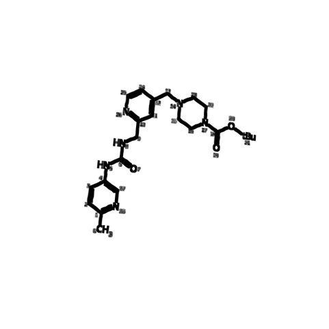 Cc1ccc(NC(=O)NCc2cc(CN3CCN(C(=O)OC(C)(C)C)CC3)ccn2)cn1